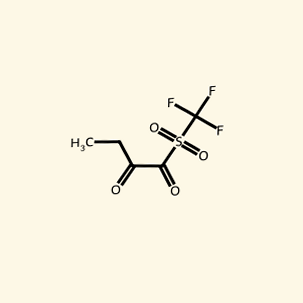 CCC(=O)C(=O)S(=O)(=O)C(F)(F)F